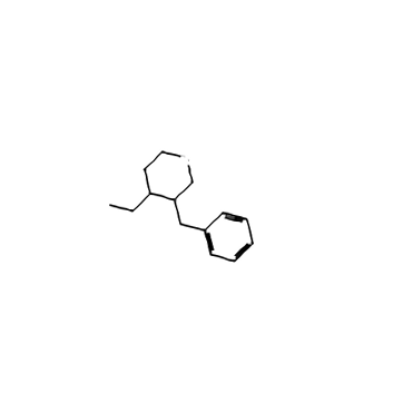 C[CH]C1CCNCC1Cc1ccccc1